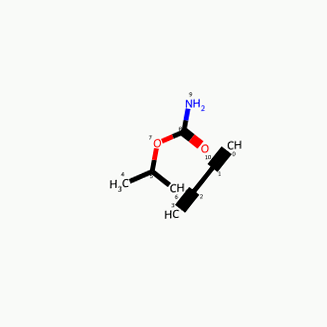 C#CC#C.CC(C)OC(N)=O